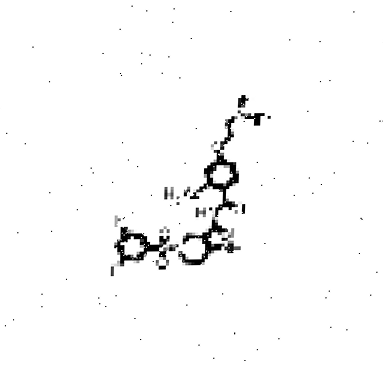 CC(C)N(CCOc1ccc(C(=O)Nc2n[nH]c3c2CN(S(=O)(=O)c2cc(F)cc(F)c2)CC3)c([AsH2])c1)C(C)C